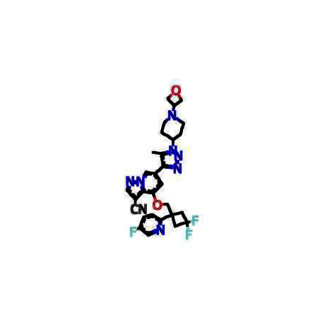 Cc1c(-c2cc(OCC3(c4ccc(F)cn4)CC(F)(F)C3)c3c(C#N)cnn3c2)nnn1C1CCN(C2COC2)CC1